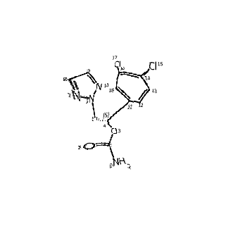 NC(=O)O[C@H](Cn1nccn1)c1ccc(Cl)c(Cl)c1